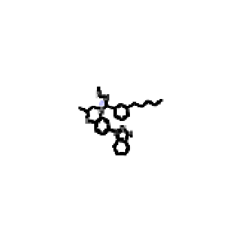 C=N/N=C(/c1cccc(CCCCC)c1)N1CC(C)=Nc2ccc(-n3nnc4ccccc43)cc21